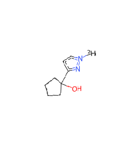 [2H]n1ccc(C2(O)CCCC2)n1